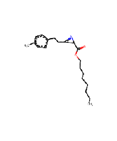 CCCCCCCCOC(=O)C1N=C1CCc1ccc(C)cc1